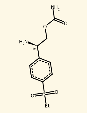 CCS(=O)(=O)c1ccc([C@@H](N)COC(N)=O)cc1